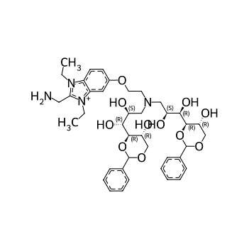 CCn1c(CN)[n+](CC)c2cc(OCCN(C[C@H](O)[C@@H](O)[C@@H]3OC(c4ccccc4)OC[C@H]3O)C[C@H](O)[C@@H](O)[C@@H]3OC(c4ccccc4)OC[C@H]3O)ccc21